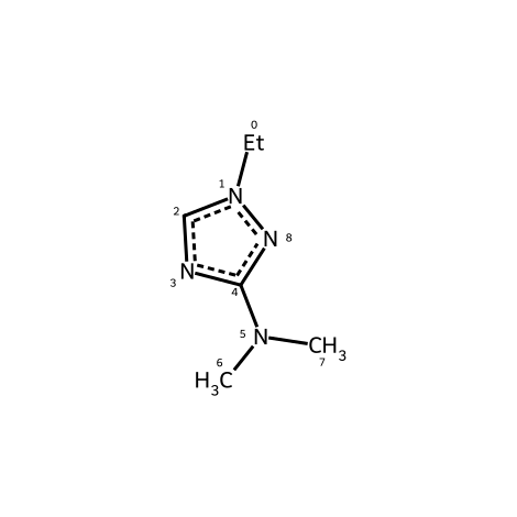 CCn1cnc(N(C)C)n1